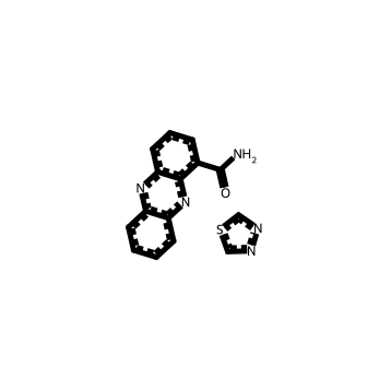 NC(=O)c1cccc2nc3ccccc3nc12.c1nncs1